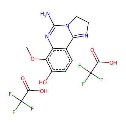 COc1c(O)ccc2c1N=C(N)N1CCN=C21.O=C(O)C(F)(F)F.O=C(O)C(F)(F)F